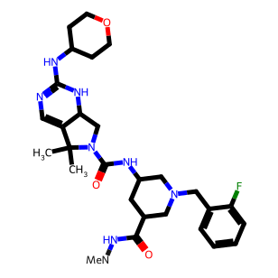 CNNC(=O)C1CC(NC(=O)N2CC3NC(NC4CCOCC4)=NC=C3C2(C)C)CN(Cc2ccccc2F)C1